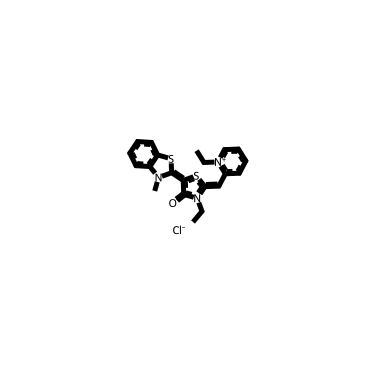 CCn1c(=Cc2cccc[n+]2CC)sc(=C2Sc3ccccc3N2C)c1=O.[Cl-]